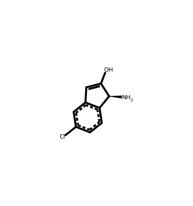 N[C@@H]1C(O)=Cc2cc(Cl)ccc21